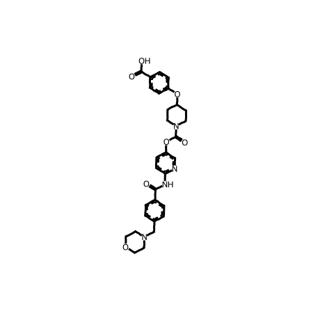 O=C(O)c1ccc(OC2CCN(C(=O)Oc3ccc(NC(=O)c4ccc(CN5CCOCC5)cc4)nc3)CC2)cc1